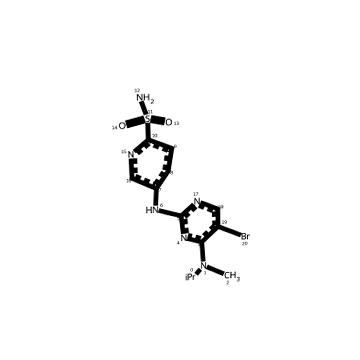 CC(C)N(C)c1nc(Nc2ccc(S(N)(=O)=O)nc2)ncc1Br